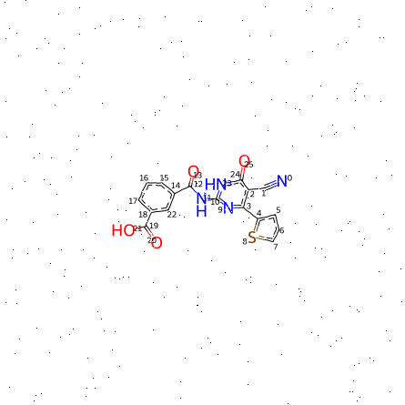 N#Cc1c(-c2cccs2)nc(NC(=O)c2cccc(C(=O)O)c2)[nH]c1=O